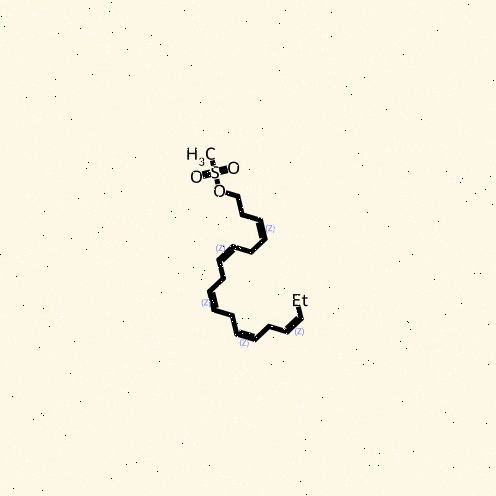 CC/C=C\C/C=C\C/C=C\C/C=C\C/C=C\CCOS(C)(=O)=O